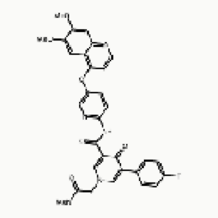 CNC(=O)Cn1cc(C(=O)Nc2ccc(Oc3ccnc4cc(OC)c(OC)cc34)cn2)c(=O)c(-c2ccc(F)cc2)c1